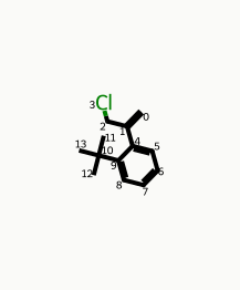 C=C(CCl)c1ccccc1C(C)(C)C